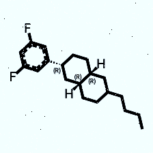 CCCCC1CC[C@@H]2C[C@H](c3cc(F)cc(F)c3)CC[C@@H]2C1